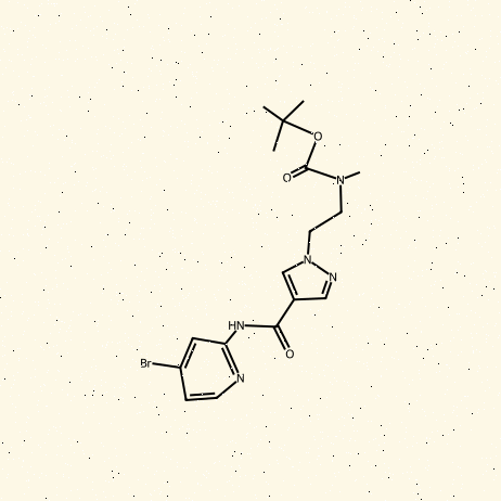 CN(CCn1cc(C(=O)Nc2cc(Br)ccn2)cn1)C(=O)OC(C)(C)C